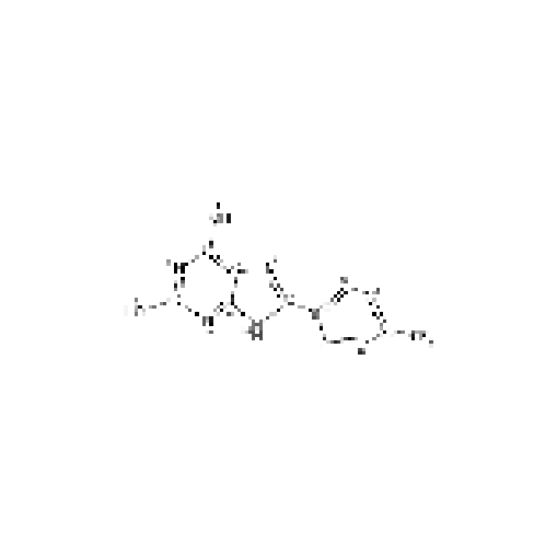 Oc1nc(O)c2nc(-c3ccc(C(F)(F)F)cc3)[nH]c2n1